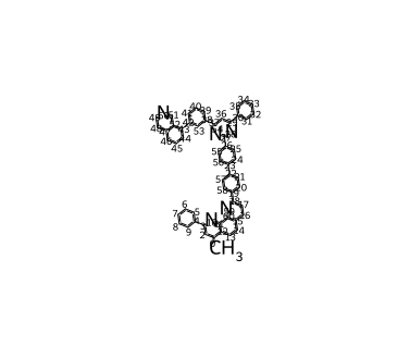 Cc1cc(-c2ccccc2)nc2c1ccc1ccc(-c3ccc(-c4ccc(-c5nc(-c6ccccc6)cc(-c6cccc(-c7cccc8ccncc78)c6)n5)cc4)cc3)nc12